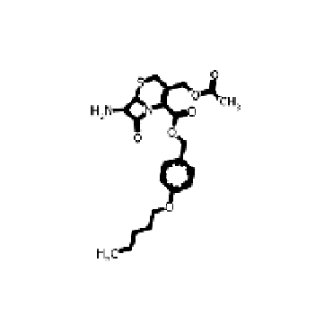 CCCCCOc1ccc(COC(=O)C2=C(COC(C)=O)CSC3C(N)C(=O)N23)cc1